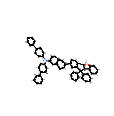 c1ccc(-c2ccc(N(c3ccc(-c4ccccc4)cc3)c3ccc4cc(-c5ccc6c(c5)C(c5ccccc5)(c5ccccc5)C5c7ccccc7OC65)ccc4c3)cc2)cc1